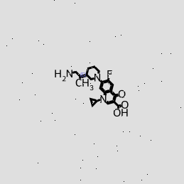 C/C(CN)=C1/CCCN(c2cc3c(cc2F)c(=O)c(C(=O)O)cn3C2CC2)C1